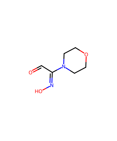 O=CC(=NO)N1CCOCC1